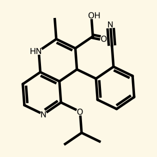 CC1=C(C(=O)O)C(c2ccccc2C#N)c2c(ccnc2OC(C)C)N1